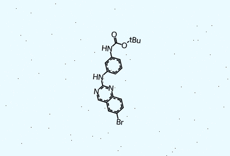 CC(C)(C)OC(=O)Nc1cccc(Nc2ncc3cc(Br)ccc3n2)c1